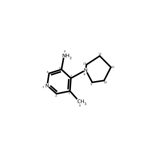 Cc1cncc(N)c1N1CCCCC1